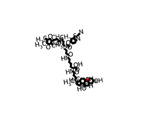 CC1=C(C)C(=O)C(C(C)(C)CC(=O)N(C)CCN(CCCC(=O)NCCCCC(NC(=O)CCC(C)[C@H]2CC[C@H]3[C@@H]4[C@@H](O)C[C@@H]5C[C@H](O)CC[C@]5(C)[C@H]4CC[C@]23C)C(=O)O)C(=O)Oc2ccc3nc(C#N)sc3c2)=C(C)C1=O